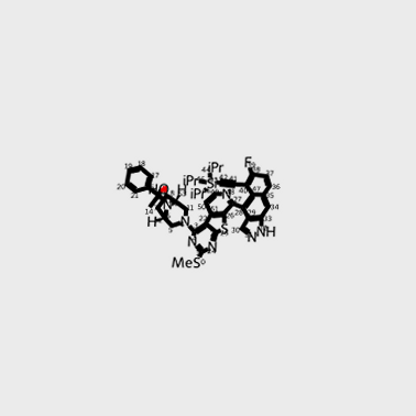 CSc1nc(N2C[C@@H]3C[C@H](O)[C@H](C2)N3C(C)(C)c2ccccc2)c2c(n1)sc1c(-c3c4cn[nH]c4cc4ccc(F)c(C#C[Si](C(C)C)(C(C)C)C(C)C)c34)nccc12